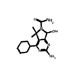 CC1(C)c2c(C3CCCCC3)nc(N)nc2C(O)N1C(N)=O